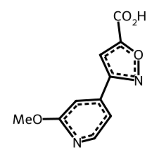 COc1cc(-c2cc(C(=O)O)on2)ccn1